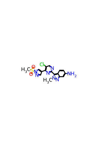 Cn1nc2cc(N)ccc2c1-c1ncc(Cl)c(-c2cnn(S(C)(=O)=O)c2)n1